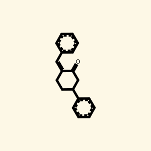 O=C1CC(c2ccccc2)CCC1=Cc1ccccc1